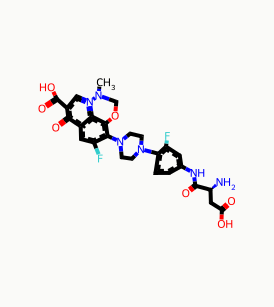 CN1COc2c(N3CCN(c4ccc(NC(=O)[C@@H](N)CC(=O)O)cc4F)CC3)c(F)cc3c(=O)c(C(=O)O)cn1c23